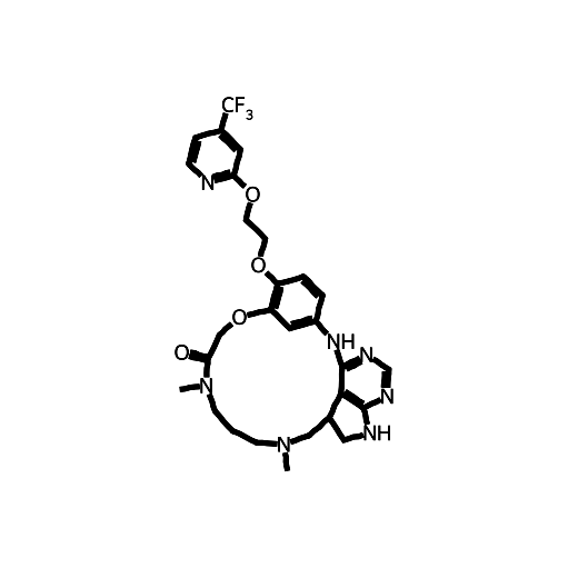 CN1CCCN(C)C(=O)COc2cc(ccc2OCCOc2cc(C(F)(F)F)ccn2)Nc2ncnc3c2C(CN3)C1